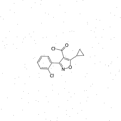 O=C(Cl)c1c(-c2ccccc2Cl)noc1C1CC1